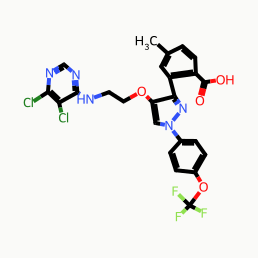 Cc1ccc(C(=O)O)c(-c2nn(-c3ccc(OC(F)(F)F)cc3)cc2OCCNc2ncnc(Cl)c2Cl)c1